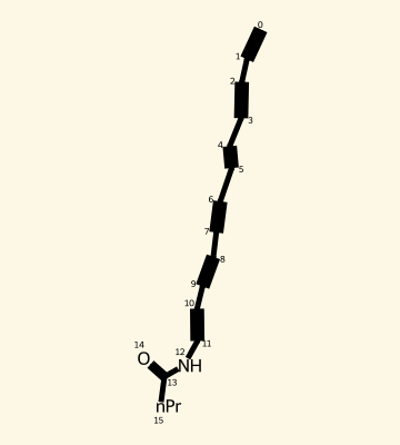 C#CC#CC#CC#CC#CC#CNC(=O)CCC